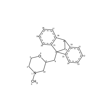 CN1CCOC(CC23CC(c4ccccc42)c2ccccc23)C1